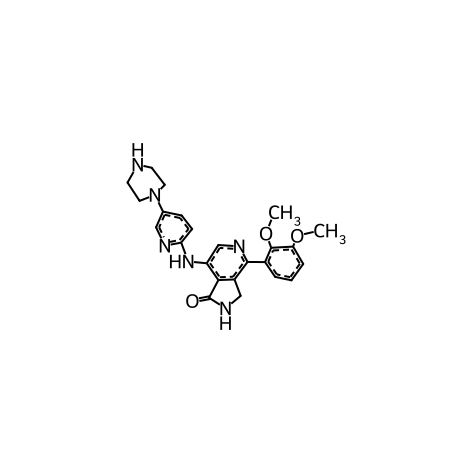 COc1cccc(-c2ncc(Nc3ccc(N4CCNCC4)cn3)c3c2CNC3=O)c1OC